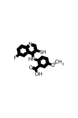 COc1ccc(Nc2c(S)cnc3ccc(F)cc23)c(C(=O)O)c1